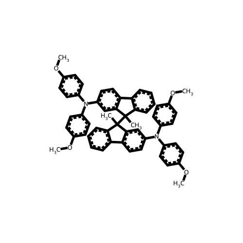 COc1ccc(N(c2ccc(OC)cc2)c2ccc3c(c2)C(C)(C2(C)c4ccccc4-c4ccc(N(c5ccc(OC)cc5)c5ccc(OC)cc5)cc42)c2ccccc2-3)cc1